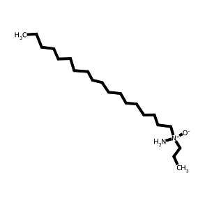 CCCCCCCCCCCCCCCCCC[N+](N)([O-])CCC